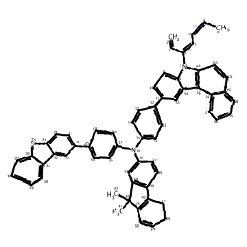 C=C/C(=C\C=C/C)n1c2ccc(-c3ccc(N(c4ccc(-c5ccc6sc7ccccc7c6c5)cc4)c4ccc5c(c4)C(C)(C)C4=C5CCC=C4)cc3)cc2c2c3ccccc3ccc21